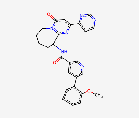 COc1ccccc1-c1cncc(C(=O)NC2CCCCn3c2nc(-c2ccncn2)cc3=O)c1